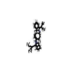 N#CC(C#N)=C1/C(=C/c2ccccc(/C=C3\C(=O)c4ccccc4C3=C(C#N)C#N)cccc2)C(=O)c2ccccc21